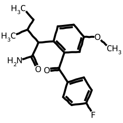 CCC(C)C(C(N)=O)c1ccc(OC)cc1C(=O)c1ccc(F)cc1